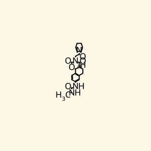 CNC(=O)Nc1ccc2c(c1)CC[C@@H]1C(=O)N(CC(=O)N3C4CCC3CC4)C(=O)OC21